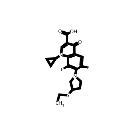 CCSC1CCN(c2c(F)cc3c(=O)c(C(=O)O)cn(C4CC4)c3c2F)C1